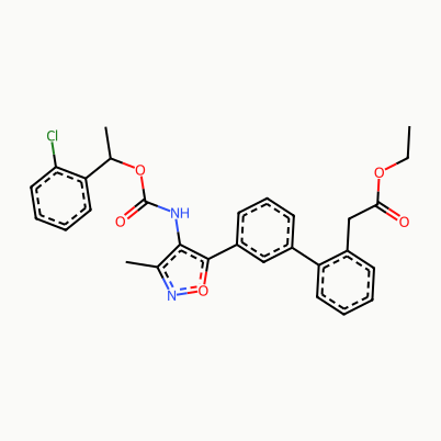 CCOC(=O)Cc1ccccc1-c1cccc(-c2onc(C)c2NC(=O)OC(C)c2ccccc2Cl)c1